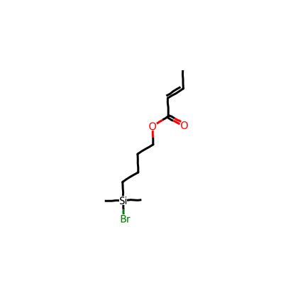 CC=CC(=O)OCCCC[Si](C)(C)Br